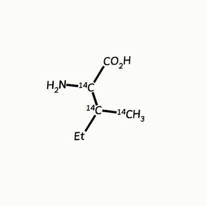 [14CH3][14CH2][14CH]([14CH3])[14CH](N)[14C](=O)O